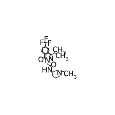 CCN1CCC[C@H](NC(=O)Cn2nc(C(C)C)c3cc(C(F)(F)F)ccc3c2=O)C1